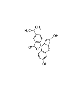 CC(C)c1ccc2c(c1)C(=O)OC21c2ccc(O)cc2OC2C=C(O)C=CC21